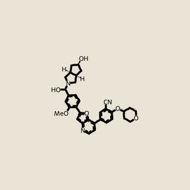 COc1cc(C(O)N2C[C@H]3C[C@@H](O)C[C@H]3C2)ccc1-c1cc2nccc(-c3ccc(OC4CCOCC4)c(C#N)c3)c2o1